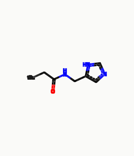 CC(C)(C)CC(=O)NCc1cnc[nH]1